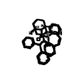 O=C(O)[C@@H]1[C@H]2CCC[C@@H](CN1C(=O)C(c1ccccc1)c1ccccc1)N2C(=O)N1c2ccccc2C=Cc2ccccc21